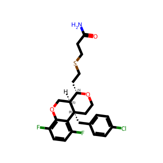 NC(=O)CCSCC[C@@H]1OCC[C@@]2(Cc3ccc(Cl)cc3)c3c(F)ccc(F)c3OC[C@@H]12